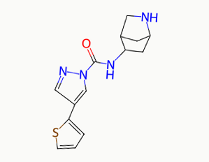 O=C(NC1CC2CC1CN2)n1cc(-c2cccs2)cn1